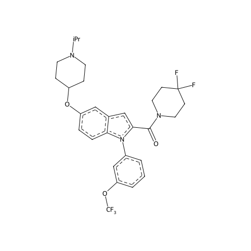 CC(C)N1CCC(Oc2ccc3c(c2)cc(C(=O)N2CCC(F)(F)CC2)n3-c2cccc(OC(F)(F)F)c2)CC1